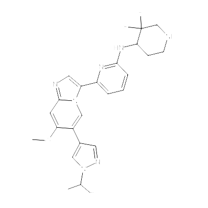 COc1cc2ncc(-c3cccc(NC4CCNCC4(F)F)n3)n2cc1-c1cnn(C(F)F)c1